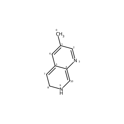 Cc1cnc2c(c1)=CCNC=2